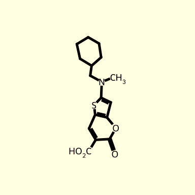 CN(CC1CCCCC1)c1cc2oc(=O)c(C(=O)O)cc2s1